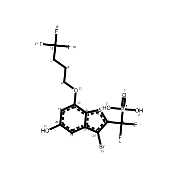 O=P(O)(O)C(F)(F)c1sc2c(OCCCC(F)(F)F)cc(O)cc2c1Br